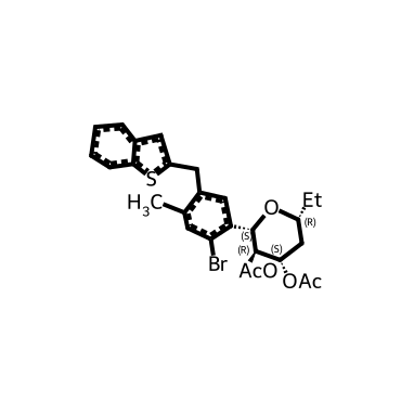 CC[C@@H]1C[C@H](OC(C)=O)[C@@H](OC(C)=O)[C@H](c2cc(Cc3cc4ccccc4s3)c(C)cc2Br)O1